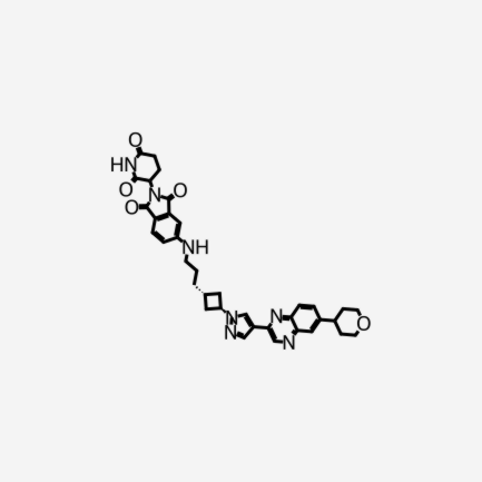 O=C1CCC(N2C(=O)c3ccc(NCCC[C@H]4C[C@H](n5cc(-c6cnc7cc(C8CCOCC8)ccc7n6)cn5)C4)cc3C2=O)C(=O)N1